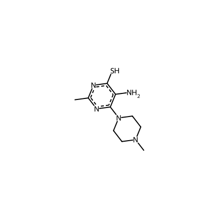 Cc1nc(S)c(N)c(N2CCN(C)CC2)n1